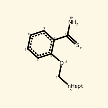 CCCCCCCCOc1ccccc1C(N)=S